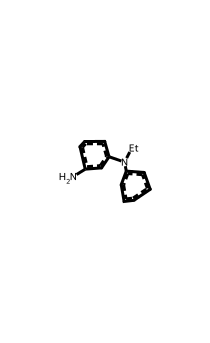 CCN(c1ccccc1)c1cccc(N)c1